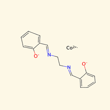 [Co+2].[O-]c1ccccc1C=NCCN=Cc1ccccc1[O-]